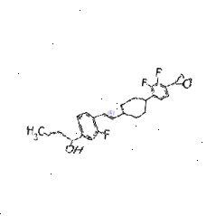 CCCC(O)c1ccc(/C=C/C2CCC(c3ccc(C4CO4)c(F)c3F)CC2)c(F)c1